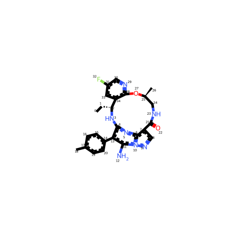 CC[C@H]1Nc2nc3c(cnn3c(N)c2-c2ccc(C)cc2)C(=O)NC[C@H](C)Oc2ncc(F)cc21